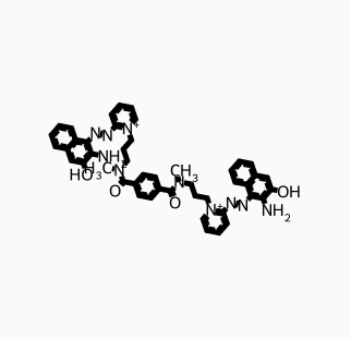 CN(CCC[n+]1ccccc1N=Nc1c(N)c(O)cc2ccccc12)C(=O)c1ccc(C(=O)N(C)CCC[n+]2ccccc2/N=N/c2c(N)c(O)cc3ccccc23)cc1